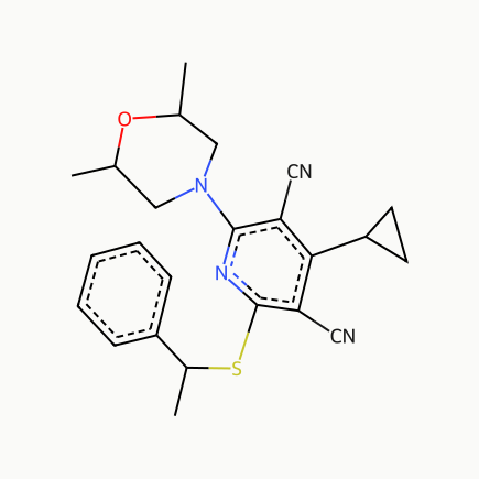 CC1CN(c2nc(SC(C)c3ccccc3)c(C#N)c(C3CC3)c2C#N)CC(C)O1